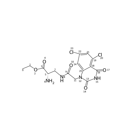 CCOC(=O)[C@@H](N)CNC(=O)Cn1c(=O)[nH]c(=O)c2c(Cl)cc(Cl)cc21